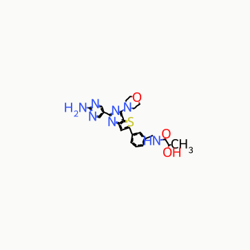 CC(O)C(=O)NCc1cccc(-c2cc3nc(-c4cnc(N)nc4)nc(N4CCOCC4)c3s2)c1